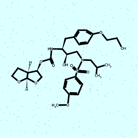 COc1ccc(S(=O)(=O)N(CC(C)C)C[C@@H](O)[C@H](Cc2ccc(OCCO)cc2)NC(=O)O[C@H]2CO[C@H]3OCC[C@H]32)cc1